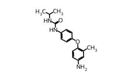 Cc1cc(N)ccc1Oc1ccc(NC(=O)NC(C)C)cc1